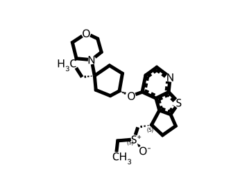 CC[S@@+]([O-])C[C@H]1CCc2sc3nccc(O[C@H]4CC[C@](CC)(N5CCOCC5)CC4)c3c21